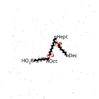 CCCCCCC/C=C/C(CCCCCCCC(=O)OCC(/C=C/CCCCCCC(=O)O)CCCCCCCC)COC(=O)CCCCCCCCCCCCCCCCC